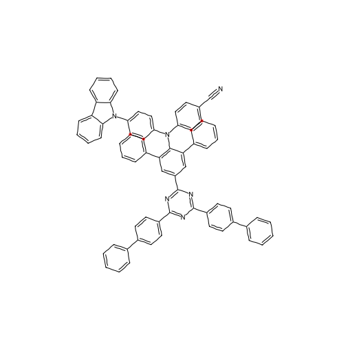 N#Cc1ccc(N(c2ccc(-n3c4ccccc4c4ccccc43)cc2)c2c(-c3ccccc3)cc(-c3nc(-c4ccc(-c5ccccc5)cc4)nc(-c4ccc(-c5ccccc5)cc4)n3)cc2-c2ccccc2)cc1